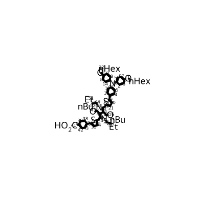 CCCCCCOc1ccc(N(c2ccc(OCCCCCC)cc2)c2ccc(-c3ccc(C4=C5C(=O)N(CC(CC)CCCC)C(c6ccc(-c7ccc(C(=O)O)cc7)s6)=C5C(=O)N4CC(CC)CCCC)s3)cc2)cc1